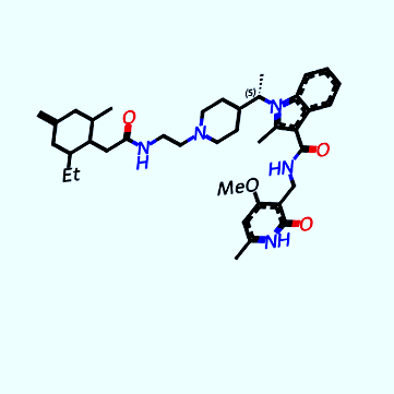 C=C1CC(C)C(CC(=O)NCCN2CCC([C@H](C)n3c(C)c(C(=O)NCc4c(OC)cc(C)[nH]c4=O)c4ccccc43)CC2)C(CC)C1